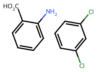 Clc1cccc(Cl)c1.Nc1ccccc1C(=O)O